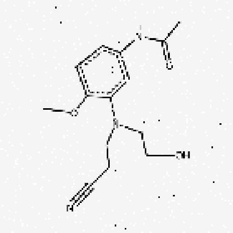 COc1ccc(NC(C)=O)cc1N(CCO)CCC#N